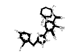 C[C@H]1CCC[C@H]2CN1C(=O)c1c(O)c(=O)c(-c3nnc(Cc4ccc(F)cc4F)s3)cn12